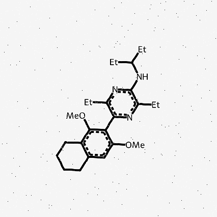 CCc1nc(-c2c(OC)cc3c(c2OC)CCCC3)c(CC)nc1NC(CC)CC